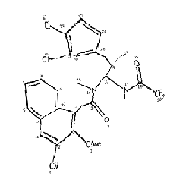 COc1c(C#N)cc2ccccc2c1C(=O)N(C)C(NC(=O)C(F)(F)F)[C@@H](C)c1ccc(Cl)c(Cl)c1